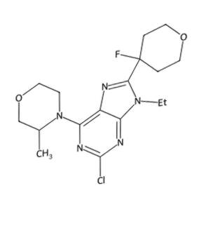 CCn1c(C2(F)CCOCC2)nc2c(N3CCOCC3C)nc(Cl)nc21